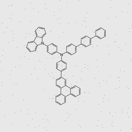 c1ccc(-c2ccc(-c3ccc(N(c4ccc(-c5ccc6c7ccccc7c7ccccc7c6c5)cc4)c4ccc(-n5c6ccccc6c6ccccc65)cc4)cc3)cc2)cc1